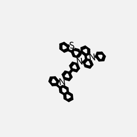 c1ccc(-n2c3ccccc3c3c(N(c4ccc(-c5ccc(-n6c7ccccc7c7cc8ccccc8cc76)cc5)cc4)c4ccc5sc6ccccc6c5c4)cccc32)cc1